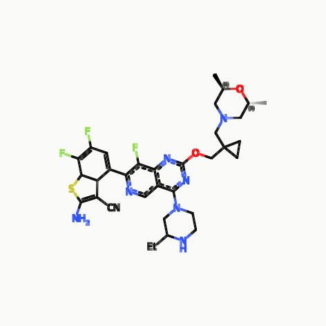 CCC1CN(c2nc(OCC3(CN4C[C@@H](C)O[C@H](C)C4)CC3)nc3c(F)c(C4=CC(F)=C(F)C5SC(N)=C(C#N)C45)ncc23)CCN1